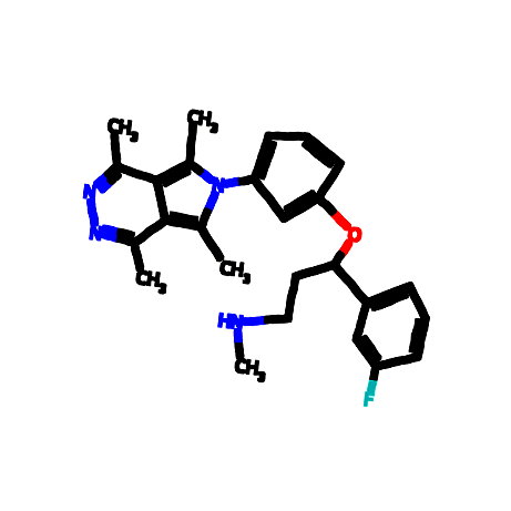 CNCCC(Oc1cccc(-n2c(C)c3c(C)nnc(C)c3c2C)c1)c1cccc(F)c1